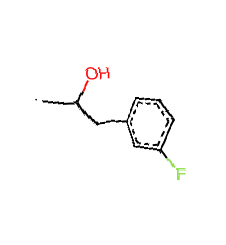 [CH2]C(O)Cc1cccc(F)c1